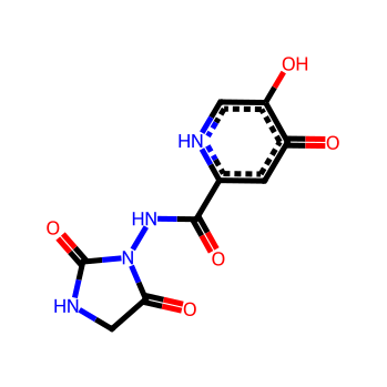 O=C(NN1C(=O)CNC1=O)c1cc(=O)c(O)c[nH]1